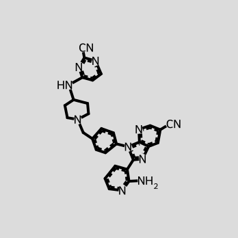 N#Cc1cnc2c(c1)nc(-c1cccnc1N)n2-c1ccc(CN2CCC(Nc3ccnc(C#N)n3)CC2)cc1